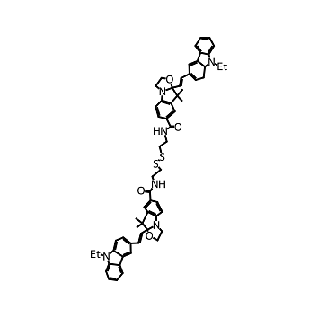 CCN1c2ccccc2C2=CC(/C=C/C34OCCN3c3ccc(C(=O)NCCSSCCNC(=O)c5ccc6c(c5)C(C)(C)C5(/C=C/c7ccc8c(c7)c7ccccc7n8CC)OCCN65)cc3C4(C)C)=CCC21